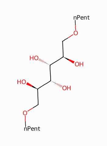 CCCCCOC[C@@H](O)[C@@H](O)[C@H](O)[C@H](O)COCCCCC